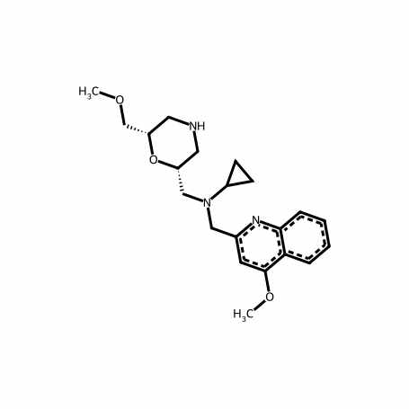 COC[C@@H]1CNC[C@H](CN(Cc2cc(OC)c3ccccc3n2)C2CC2)O1